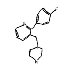 Fc1ccc(-c2ncccc2CN2CC[N]CC2)cc1